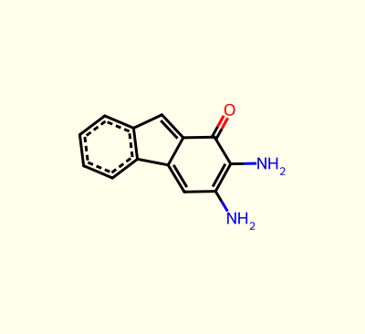 NC1=C(N)C(=O)C2=Cc3ccccc3C2=C1